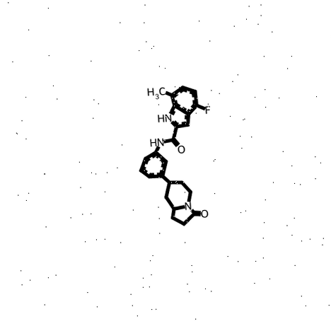 Cc1ccc(F)c2cc(C(=O)Nc3cccc(C4CCN5C(=O)CCC5C4)c3)[nH]c12